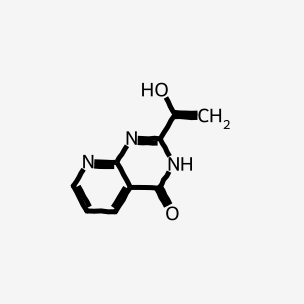 C=C(O)c1nc2ncccc2c(=O)[nH]1